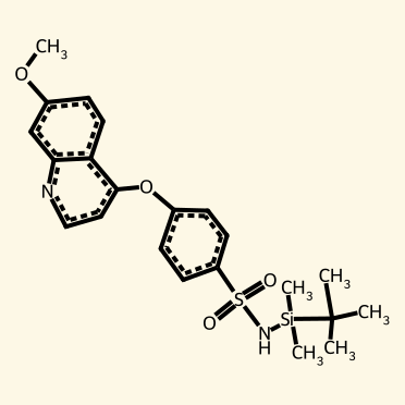 COc1ccc2c(Oc3ccc(S(=O)(=O)N[Si](C)(C)C(C)(C)C)cc3)ccnc2c1